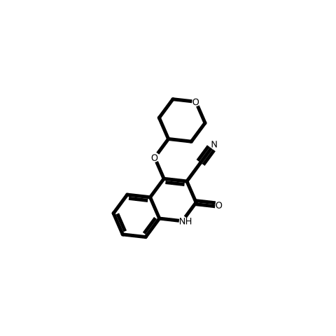 N#Cc1c(OC2CCOCC2)c2ccccc2[nH]c1=O